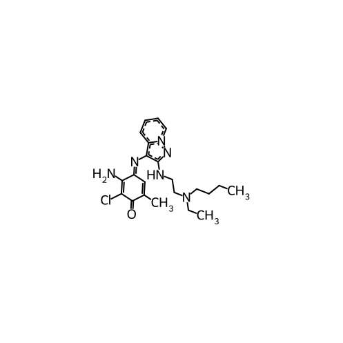 CCCCN(CC)CCNc1nn2ccccc2c1/N=C1\C=C(C)C(=O)C(Cl)=C1N